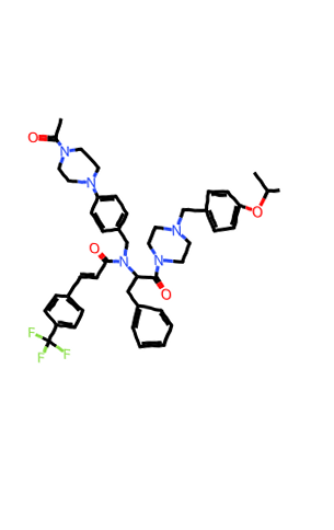 CC(=O)N1CCN(c2ccc(CN(C(=O)C=Cc3ccc(C(F)(F)F)cc3)C(Cc3ccccc3)C(=O)N3CCN(Cc4ccc(OC(C)C)cc4)CC3)cc2)CC1